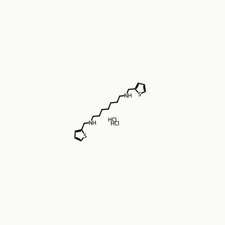 Cl.Cl.c1csc(CNCCCCCCCNCc2cccs2)c1